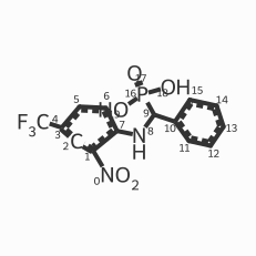 O=[N+]([O-])c1cc(C(F)(F)F)ccc1NC(c1ccccc1)P(=O)(O)O